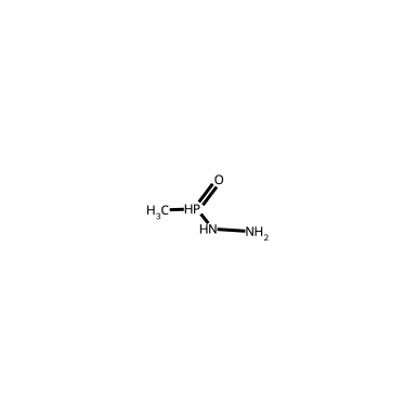 C[PH](=O)NN